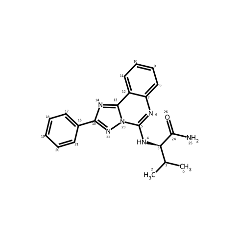 CC(C)[C@@H](Nc1nc2ccccc2c2nc(-c3ccccc3)nn12)C(N)=O